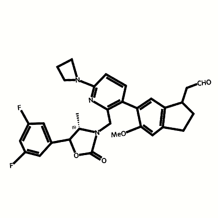 COc1cc2c(cc1-c1ccc(N3CCC3)nc1CN1C(=O)OC(c3cc(F)cc(F)c3)[C@@H]1C)C(CC=O)CC2